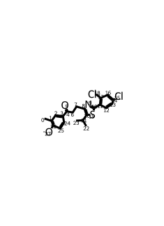 Cc1cc(C(=O)CCc2nc(-c3ccc(Cl)cc3Cl)sc2C(C)C)ccc1[O]